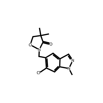 Cn1ncc2cc(CN3OCC(C)(C)C3=O)c(Cl)cc21